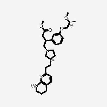 COC(=O)CC(CN1CC[C@@H](CCc2ccc3c(n2)NCCC3)C1)c1cccc(OC[C@H](C)OC)c1